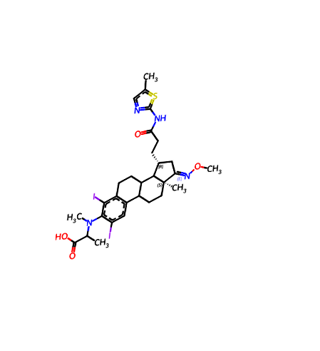 CO/N=C1\C[C@@H](CCC(=O)Nc2ncc(C)s2)C2C3CCc4c(cc(I)c(N(C)C(C)C(=O)O)c4I)C3CC[C@]12C